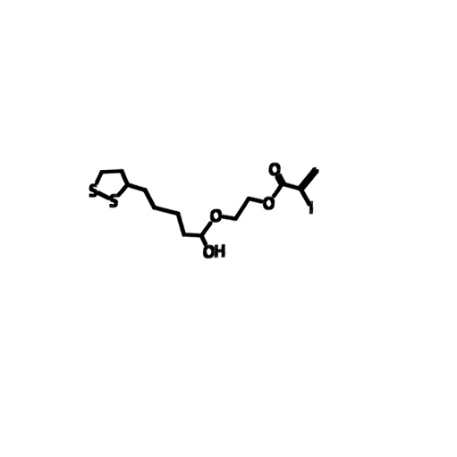 C=C(I)C(=O)OCCOC(O)CCCCC1CCSS1